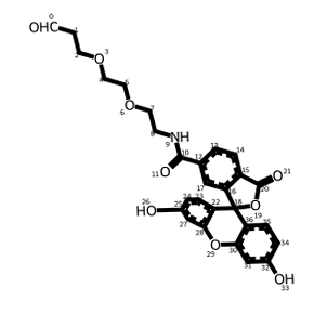 O=CCCOCCOCCNC(=O)c1ccc2c(c1)C1(OC2=O)c2ccc(O)cc2Oc2cc(O)ccc21